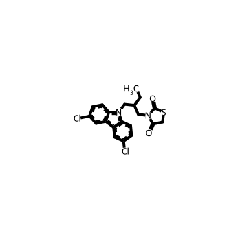 CCC(CN1C(=O)CSC1=O)Cn1c2ccc(Cl)cc2c2cc(Cl)ccc21